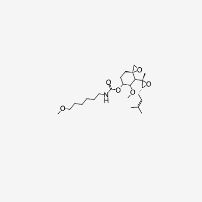 COCCCCCCNC(=O)OC1CC[C@]2(CO2)C([C@]2(C)O[C@@H]2CC=C(C)C)C1OC